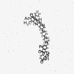 CC(=O)c1c(C)c2cnc(Nc3ccc(N4CCC(N5CCN(Cc6cc(F)c7c(c6)C(=O)N(C6CCC(=O)NC6=O)C7=O)CC5)CC4)cn3)nc2n(C2CCCC2)c1=O